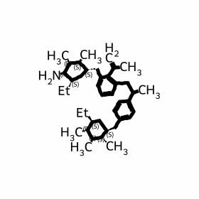 C=C(C)c1c(CC(C)c2ccc(C[C@@H]3C[C@H](CC)[C@@H](C)[C@H](C)[C@H]3C)cc2)cccc1C[C@@H]1C[C@H](CC)[C@@H](N)[C@H](C)[C@H]1C